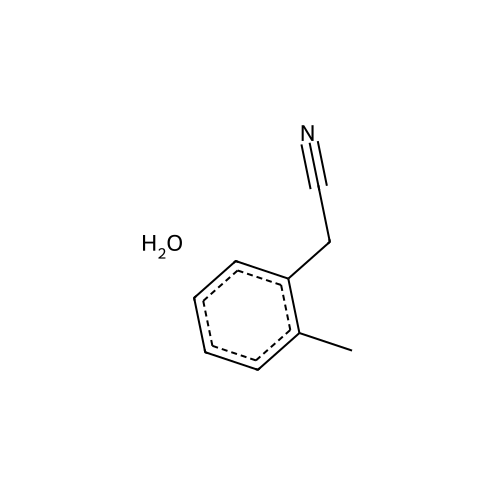 Cc1ccccc1CC#N.O